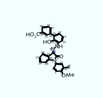 COc1ccc(N2C(=O)/C(=N\Nc3cccc(-c4cccc(C(=O)O)c4)c3O)c3ccccc32)cc1F